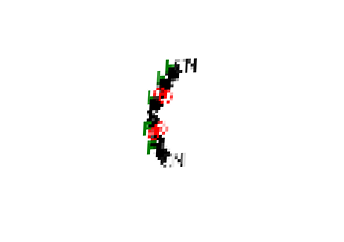 N#Cc1ccc(-c2ccc(OC(=O)c3ccc(Cc4ccc(C(=O)Oc5ccc(-c6ccc(C#N)c(F)c6)c(F)c5)c(F)c4)cc3F)cc2F)cc1